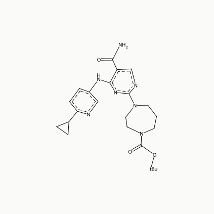 CC(C)(C)OC(=O)N1CCCN(c2ncc(C(N)=O)c(Nc3ccc(C4CC4)nc3)n2)CC1